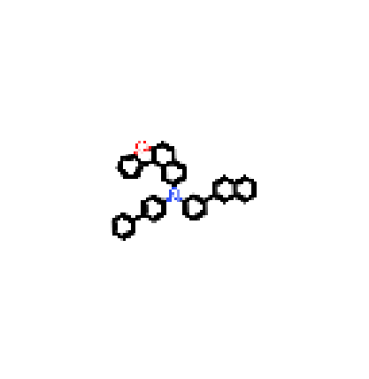 c1ccc(-c2ccc(N(c3cccc(-c4ccc5ccccc5c4)c3)c3ccc4ccc5oc6ccccc6c5c4c3)cc2)cc1